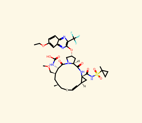 CCOc1ccc2nc(C(F)(F)F)c(O[C@@H]3C[C@H]4C(=O)N[C@]5(C(=O)NS(=O)(=O)C6(C)CC6)C[C@H]5/C=C\CC[C@@H](C)C[C@@H](COC)[C@H](NC(=O)O)C(=O)N4C3)nc2c1